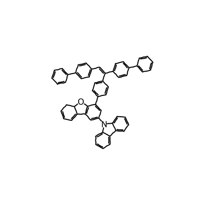 C1=CCC2Oc3c(cc(-n4c5ccccc5c5ccccc54)cc3-c3ccc(/C(=C\c4ccc(-c5ccccc5)cc4)c4ccc(-c5ccccc5)cc4)cc3)C2=C1